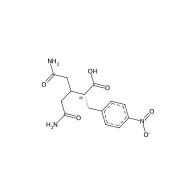 NC(=O)CC(CC(N)=O)[C@@H](Cc1ccc([N+](=O)[O-])cc1)C(=O)O